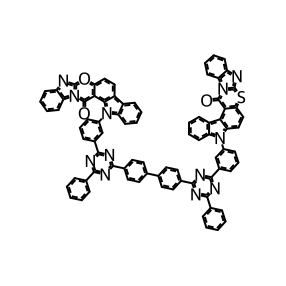 O=c1c2c(ccc3c4ccccc4n(-c4cccc(-c5nc(-c6ccccc6)nc(-c6ccc(-c7ccc(-c8nc(-c9ccccc9)nc(-c9cccc(-n%10c%11ccccc%11c%11c%12c(=O)n%13c(nc%14ccccc%14%13)sc%12ccc%11%10)c9)n8)cc7)cc6)n5)c4)c32)oc2nc3ccccc3n12